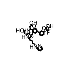 O=C(O)C(F)(F)F.O=C(O)CC(NC(=O)[C@H](CCO)NC(=O)CCCCNc1ccccn1)c1ccc(-c2ccccc2)cc1